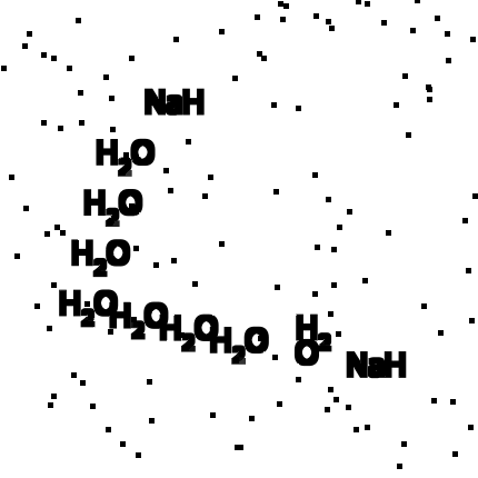 O.O.O.O.O.O.O.O.[NaH].[NaH]